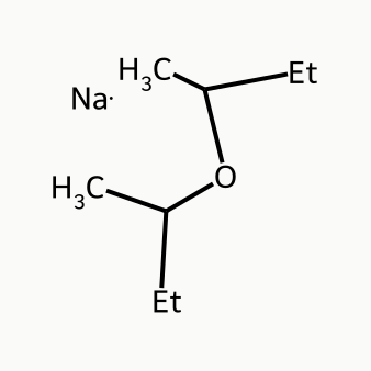 CCC(C)OC(C)CC.[Na]